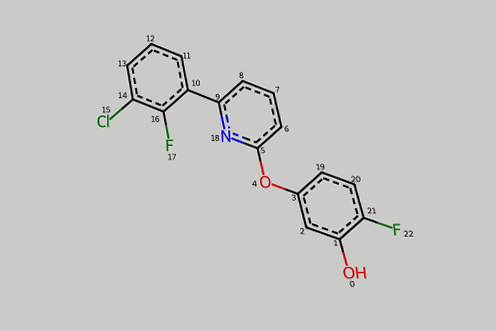 Oc1cc(Oc2cccc(-c3cccc(Cl)c3F)n2)ccc1F